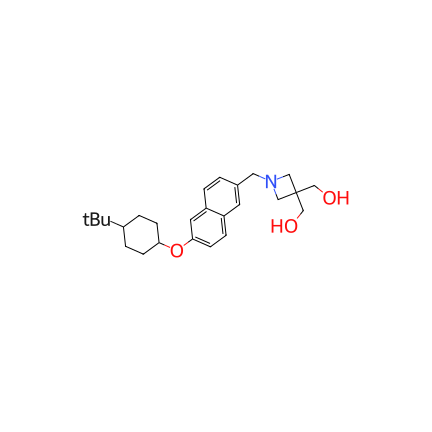 CC(C)(C)C1CCC(Oc2ccc3cc(CN4CC(CO)(CO)C4)ccc3c2)CC1